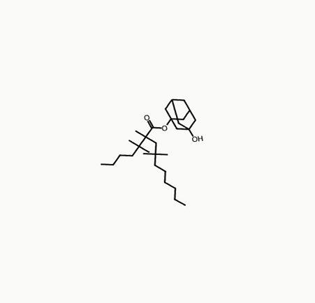 CCCCCCC(C)(C)CC(C)(C(=O)OC12CC3CC(CC(O)(C3)C1)C2)C(C)(C)CCCC